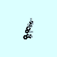 O=S(=O)(c1c[nH]cn1)N1CCC2(CC[C@@H](C3c4ccccc4-c4cncn43)[C@H]2O)CC1